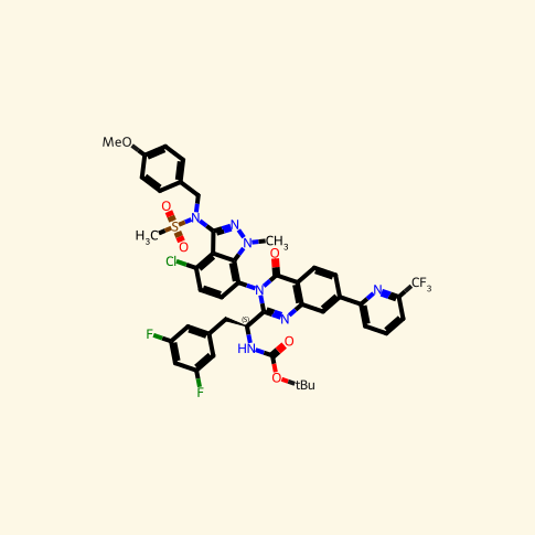 COc1ccc(CN(c2nn(C)c3c(-n4c([C@H](Cc5cc(F)cc(F)c5)NC(=O)OC(C)(C)C)nc5cc(-c6cccc(C(F)(F)F)n6)ccc5c4=O)ccc(Cl)c23)S(C)(=O)=O)cc1